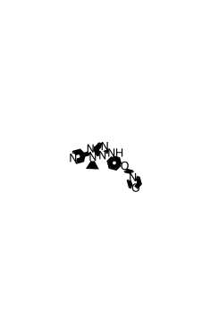 c1cc(Nc2ncc3nc(-c4ccncc4)n(C4CC4)c3n2)cc(OCCN2CCOCC2)c1